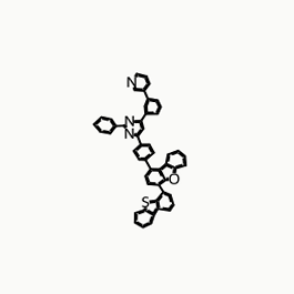 c1ccc(-c2nc(-c3ccc(-c4ccc(-c5cccc6c5sc5ccccc56)c5oc6ccccc6c45)cc3)cc(-c3cccc(-c4cccnc4)c3)n2)cc1